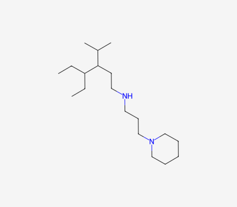 CCC(CC)C(CCNCCCN1CCCCC1)C(C)C